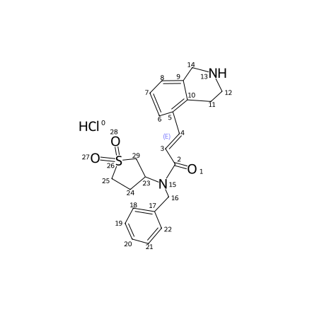 Cl.O=C(/C=C/c1cccc2c1CCNC2)N(Cc1ccccc1)C1CCS(=O)(=O)C1